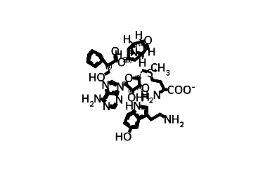 CN1[C@@H]2C[C@@H](OC(=O)[C@H](CO)c3ccccc3)C[C@H]1[C@@H]1O[C@@H]12.C[S+](CCC(N)C(=O)[O-])C[C@H]1O[C@@H](n2cnc3c(N)ncnc32)[C@H](O)[C@@H]1O.NCCc1c[nH]c2ccc(O)cc12